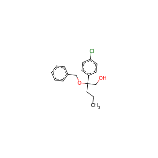 CCCC(CO)(OCc1ccccc1)c1ccc(Cl)cc1